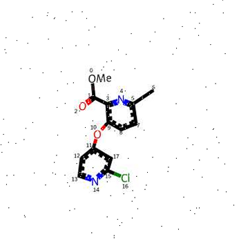 COC(=O)c1nc(C)ccc1Oc1ccnc(Cl)c1